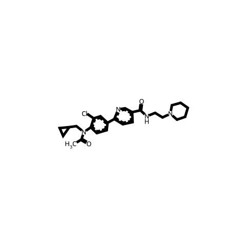 CC(=O)N(CC1CC1)c1ccc(-c2ccc(C(=O)NCCN3CCCCC3)cn2)cc1Cl